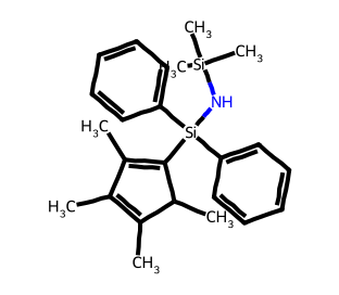 CC1=C(C)C(C)C([Si](N[Si](C)(C)C)(c2ccccc2)c2ccccc2)=C1C